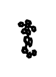 c1ccc(-c2c3c(c(-c4ccccc4)c4ccccc24)-c2ccc(-c4ccc(-c5cccc(-c6cccc(-c7ccccn7)n6)c5)c5ccccc45)c4cccc-3c24)cc1